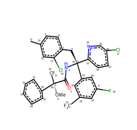 CO[C@](C(=O)N[C@@](Cc1ccc(C)cc1Cl)(c1cc(F)cc(C(F)(F)F)c1)c1ccc(Cl)cn1)(c1ccccc1)C(F)(F)F